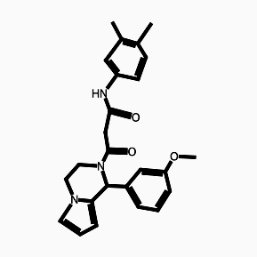 COc1cccc(C2c3cccn3CCN2C(=O)CC(=O)Nc2ccc(C)c(C)c2)c1